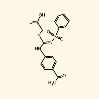 CC(=O)c1ccc(NC(=NS(=O)(=O)c2ccccc2)NCC(=O)O)cc1